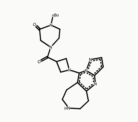 CCCCN1CCN(C(=O)C2CN(c3c4c(nc5ccnn35)CCNCC4)C2)CC1=O